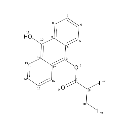 O=C(Oc1c2ccccc2c(O)c2ccccc12)C(I)CI